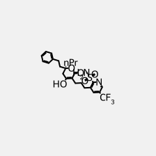 CCC[C@@]1(CCc2ccccc2)CC(O)=C(CCCc2cc(C(F)(F)F)cnc2S(N)(=O)=O)C(=O)O1